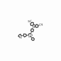 N#Cc1ccc2c(c1)c1cc(C#N)ccc1n2-c1ccc(-c2cc(-c3ccc(-c4ccccn4)cc3)nc(-c3ccccc3)n2)cc1